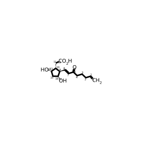 C=CCCCC(=O)C=C[C@@H]1[C@@H](CC(=O)O)[C@@H](O)C[C@H]1O